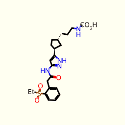 CCS(=O)(=O)c1ccccc1CC(=O)Nc1cc([C@H]2CC[C@H](CCCNC(=O)O)C2)[nH]n1